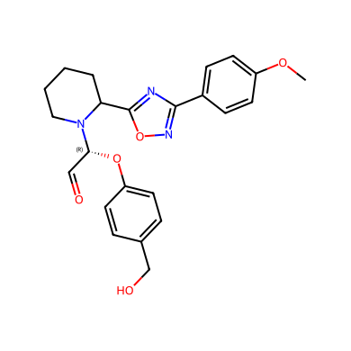 COc1ccc(-c2noc(C3CCCCN3[C@@H](C=O)Oc3ccc(CO)cc3)n2)cc1